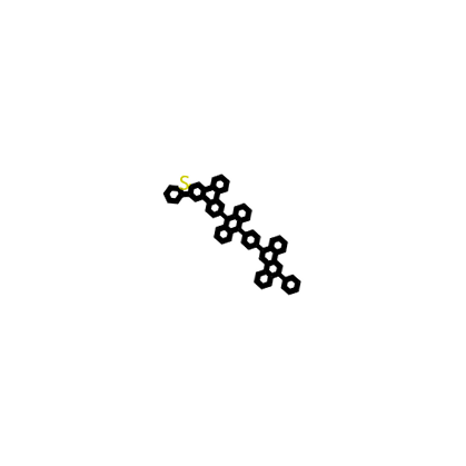 c1ccc(-c2cc3c4ccccc4c(-c4ccc(-c5c6ccccc6c(-c6ccc7c(c6)c6ccccc6c6cc8sc9ccccc9c8cc76)c6ccccc56)cc4)cc3c3ccccc23)cc1